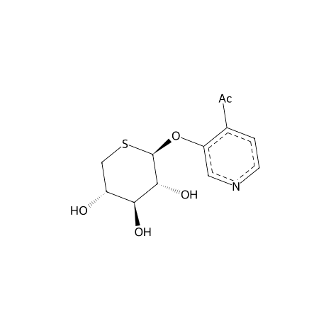 CC(=O)c1ccncc1O[C@@H]1SC[C@@H](O)[C@H](O)[C@H]1O